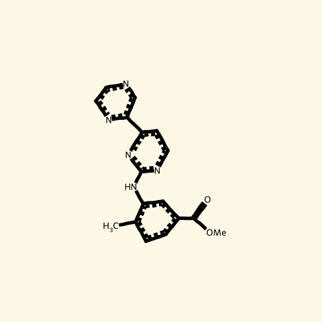 COC(=O)c1ccc(C)c(Nc2nccc(-c3cnccn3)n2)c1